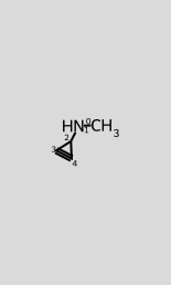 CNC1C#C1